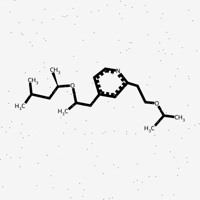 CC(C)C[C@@H](C)OC(C)Cc1ccnc(CCOC(C)C)c1